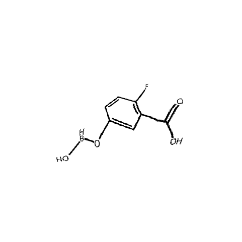 O=C(O)c1cc(OBO)ccc1F